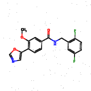 COc1cc(C(=O)NCc2cc(F)ccc2F)ccc1-c1cnco1